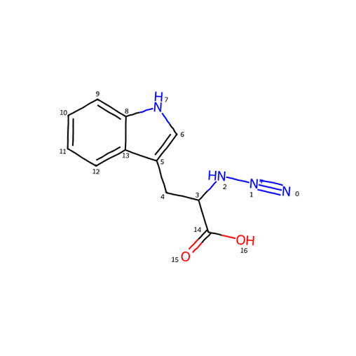 N#[N+]NC(Cc1c[nH]c2ccccc12)C(=O)O